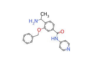 CC(N)c1ccc(C(=O)Nc2ccncc2)cc1OCc1ccccc1